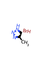 Br.Cc1c[nH]nn1